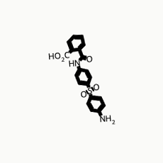 Nc1ccc(S(=O)(=O)c2ccc(NC(=O)c3ccccc3C(=O)O)cc2)cc1